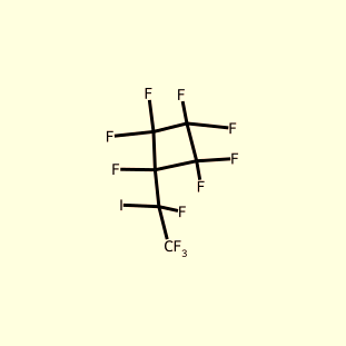 FC(F)(F)C(F)(I)C1(F)C(F)(F)C(F)(F)C1(F)F